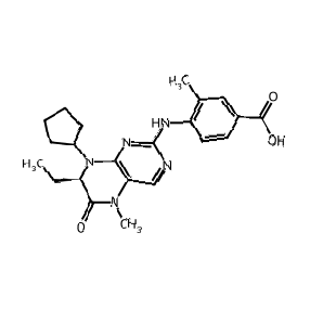 CC[C@@H]1C(=O)N(C)c2cnc(Nc3ccc(C(=O)O)cc3C)nc2N1C1CCCC1